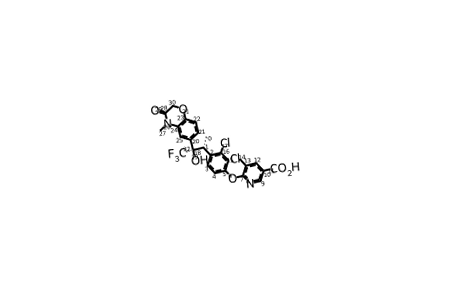 C[C@H](c1ccc(Oc2ncc(C(=O)O)cc2Cl)cc1Cl)[C@@](O)(c1ccc2c(c1)N(C)C(=O)CO2)C(F)(F)F